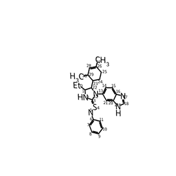 CCC1NC(=S=Nc2ccccc2)N(c2ccc3nc[nH]c3c2)C1C1CCC(C)=CC1C